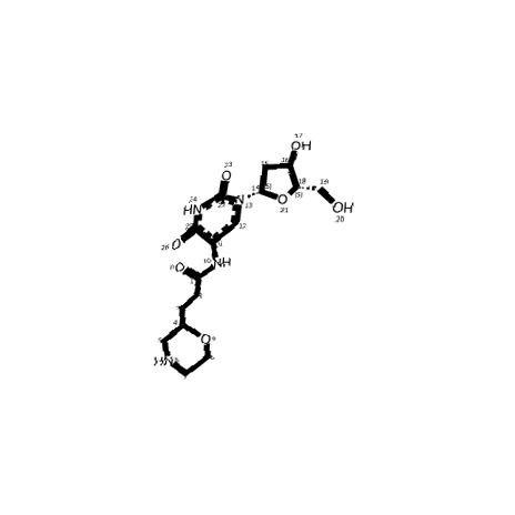 O=C(CCC1CNCCO1)Nc1cn([C@@H]2CC(O)[C@H](CO)O2)c(=O)[nH]c1=O